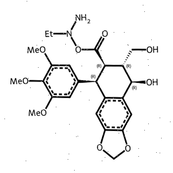 CCN(N)OC(=O)[C@@H]1[C@H](c2cc(OC)c(OC)c(OC)c2)c2cc3c(cc2[C@H](O)[C@H]1CO)OCO3